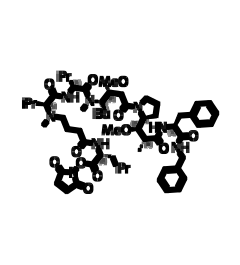 CC[C@H](C)[C@@H]([C@@H](CC(=O)N1CCC[C@H]1[C@H](OC)[C@@H](C)C(=O)N[C@@H](Cc1ccccc1)C(=O)NCc1ccccc1)OC)N(C)C(=O)[C@@H](NC(=O)[C@H](C(C)C)N(C)CCCC(=O)N[C@H](CC(C)C)C(=O)ON1C(=O)C=CC1=O)C(C)C